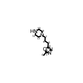 Cc1nnc(CCCN2CCNCC2)o1